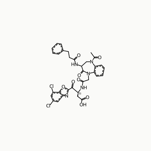 CC(=O)N1CC(NC(=O)CCc2ccccc2)C(=O)N(CC(=O)N[C@@H](CC(=O)O)C(=O)c2nc3cc(Cl)cc(Cl)c3o2)c2ccccc21